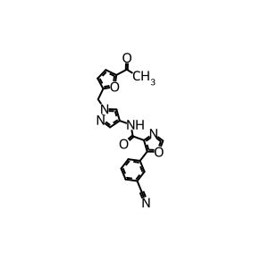 CC(=O)c1ccc(Cn2cc(NC(=O)c3ncoc3-c3cccc(C#N)c3)cn2)o1